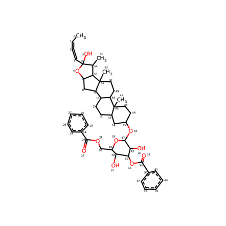 CC=C=CC1(O)OC2CC3C4CCC5CC(OC6OC(COC(=O)c7ccccc7)C(O)C(OC(=O)c7ccccc7)C6O)CCC5(C)C4CCC3(C)C2C1C